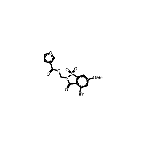 COc1cc(C(C)C)c2c(c1)S(=O)(=O)N(COC(=O)c1ccoc1)C2=O